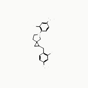 O=[N+]([O-])c1ccc(CC2CC23CCN(c2ccc([N+](=O)[O-])cc2Br)C3)c(Br)c1